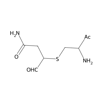 CC(=O)C(N)CSC(C=O)CC(N)=O